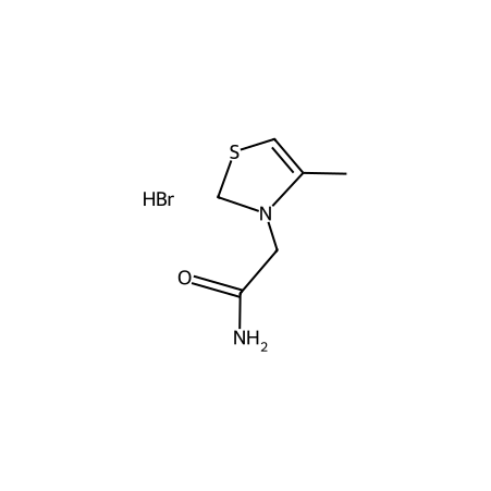 Br.CC1=CSCN1CC(N)=O